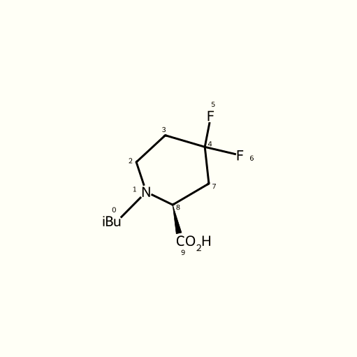 CCC(C)N1CCC(F)(F)C[C@H]1C(=O)O